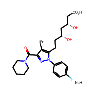 CC(C)c1c(C(=O)N2CCCCC2)nn(-c2ccc(F)cc2)c1CC[C@@H](O)C[C@@H](O)CC(=O)O.[NaH]